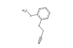 CSc1ccccc1SCC#N